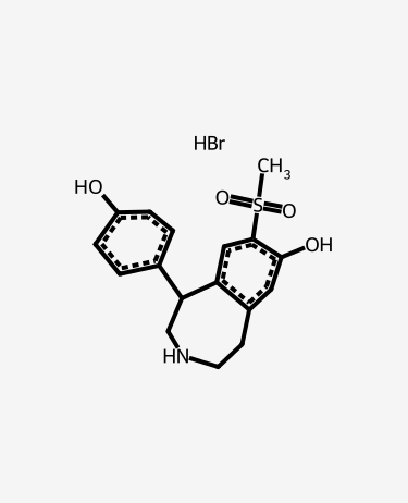 Br.CS(=O)(=O)c1cc2c(cc1O)CCNCC2c1ccc(O)cc1